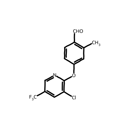 Cc1cc(Oc2ncc(C(F)(F)F)cc2Cl)ccc1C=O